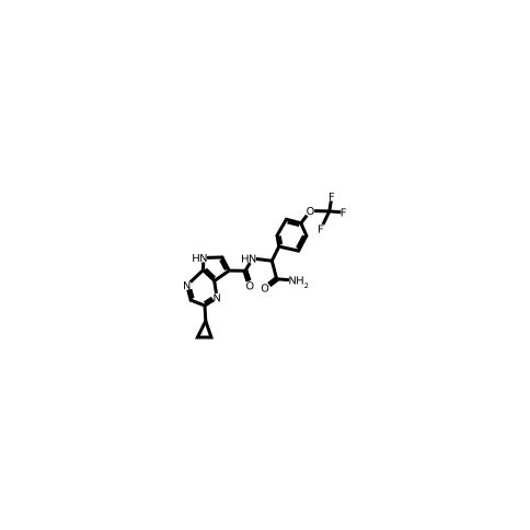 NC(=O)C(NC(=O)c1c[nH]c2ncc(C3CC3)nc12)c1ccc(OC(F)(F)F)cc1